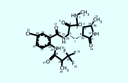 CNC(=O)C(=O)[C@H](C[C@@H]1C[C@@H](C)NC1=O)NC(=O)c1cc(Cl)ccc1NC(=O)C(C)C(F)(F)F